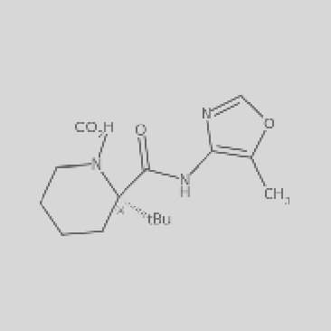 Cc1ocnc1NC(=O)[C@@]1(C(C)(C)C)CCCCN1C(=O)O